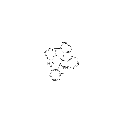 Cc1ccccc1C(P)(P)C(c1ccccc1)(c1ccccc1)c1ccccc1C